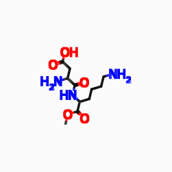 COC(=O)C(CCCCN)NC(=O)C(N)CC(=O)O